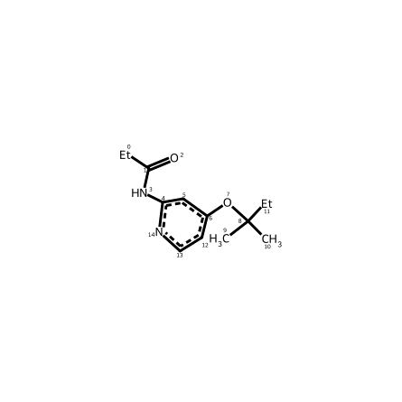 CCC(=O)Nc1cc(OC(C)(C)CC)ccn1